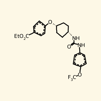 CCOC(=O)c1ccc(O[C@H]2CC[C@@H](NC(=O)Nc3ccc(OC(F)(F)F)cc3)CC2)cc1